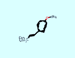 CCOC(=O)C=Cc1ccc(OC(C)(C)C)cc1